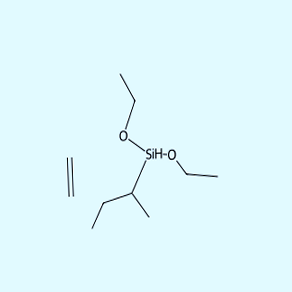 C=C.CCO[SiH](OCC)C(C)CC